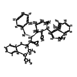 COc1ccccc1CN(C)C(=O)[C@H](Cc1ccccc1)N1CCNC(c2c[nH]c3ccccc23)C1=O